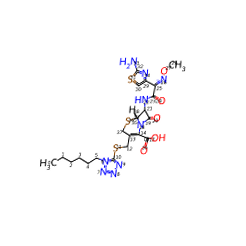 CCCCCCn1nnnc1SCC1=C(C(=O)O)N2C(=O)C(NC(=O)/C(=N/OC)c3csc(N)n3)[C@H]2SC1